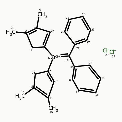 CC1=C(C)C[C]([Zr+2]([C]2=CC(C)=C(C)C2)=[C](c2ccccc2)c2ccccc2)=C1.[Cl-].[Cl-]